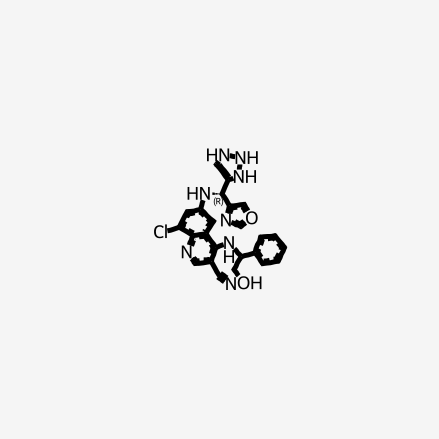 N#Cc1cnc2c(Cl)cc(N[C@H](C3=CNNN3)c3cocn3)cc2c1NC(CO)c1ccccc1